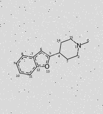 CN1CCC(c2cc3ccccc3o2)CC1